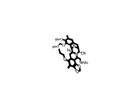 C=CCOc1c(C)c2c(c3c1C[C@H]1C4c5c(cc(C)c(OC)c5OCOC)CC([C@H](C#N)N1C3CNC(C)=O)N4C)OCO2